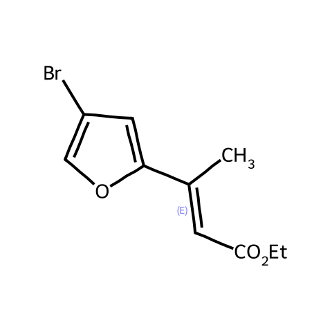 CCOC(=O)/C=C(\C)c1cc(Br)co1